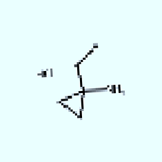 Cl.NC1(CF)CC1